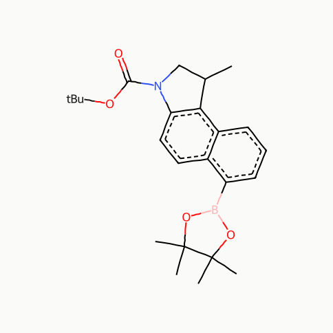 CC1CN(C(=O)OC(C)(C)C)c2ccc3c(B4OC(C)(C)C(C)(C)O4)cccc3c21